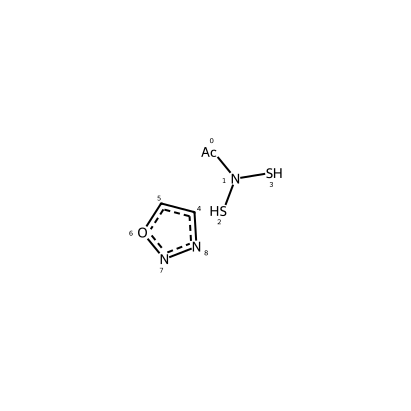 CC(=O)N(S)S.c1conn1